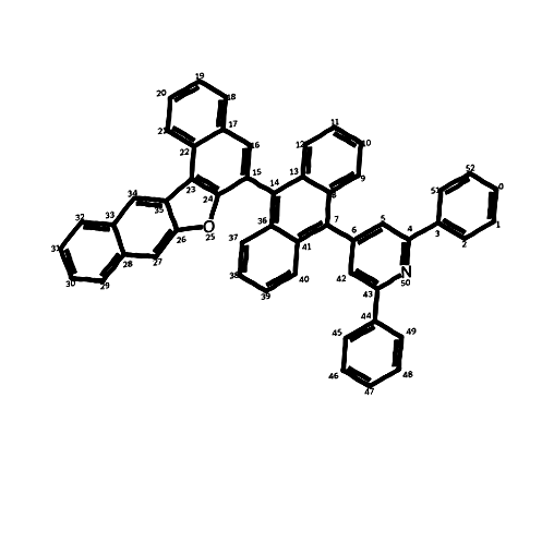 c1ccc(-c2cc(-c3c4ccccc4c(-c4cc5ccccc5c5c4oc4cc6ccccc6cc45)c4ccccc34)cc(-c3ccccc3)n2)cc1